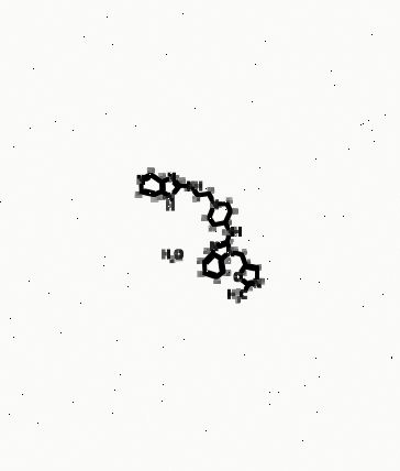 Cc1ncc(Cn2c(NC3CCN(CCNc4nc5cnccc5[nH]4)CC3)nc3ccccc32)o1.O